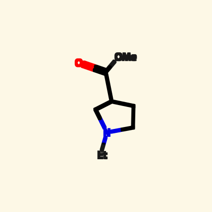 CCN1CCC(C(=O)OC)C1